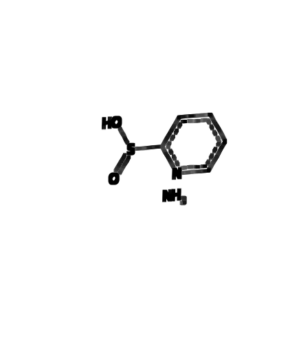 N.O=S(O)c1ccccn1